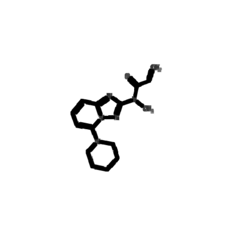 C=CC(=O)N(C)c1nc2cccc(N3CCCCC3)n2n1